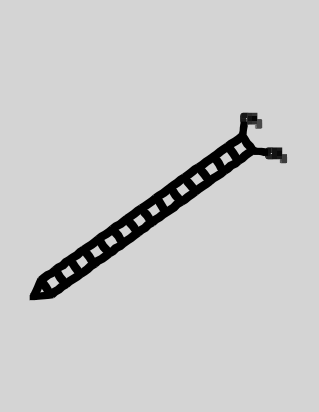 CC1C(C)C2C1C1C2C2C1C1C2C2C1C1C2C2C3C4C5C6C7C8C9CC9C8C7C6C5C4C3C12